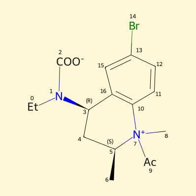 CCN(C(=O)[O-])[C@@H]1C[C@H](C)[N+](C)(C(C)=O)c2ccc(Br)cc21